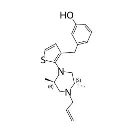 C=CCN1C[C@@H](C)N(c2sccc2Cc2cccc(O)c2)C[C@@H]1C